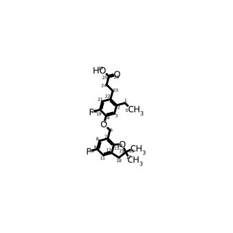 CCc1cc(OCc2cc(F)cc3c2OC(C)(C)C3)c(F)cc1CCC(=O)O